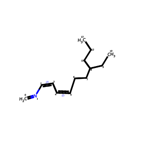 C=N/C=C\C=C/CCC(CC)CCC